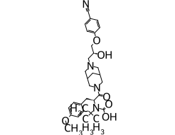 COc1ccc(C[C@@H](C(=O)N2CC3CC(CN(C[C@H](O)COc4ccc(C#N)cc4)C3)C2)N(C(=O)O)C(C)(C)C)cc1